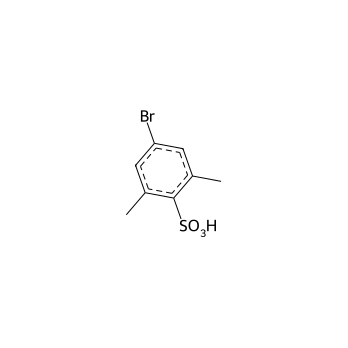 Cc1cc(Br)cc(C)c1S(=O)(=O)O